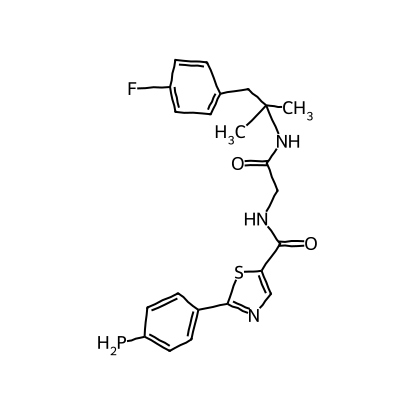 CC(C)(Cc1ccc(F)cc1)NC(=O)CNC(=O)c1cnc(-c2ccc(P)cc2)s1